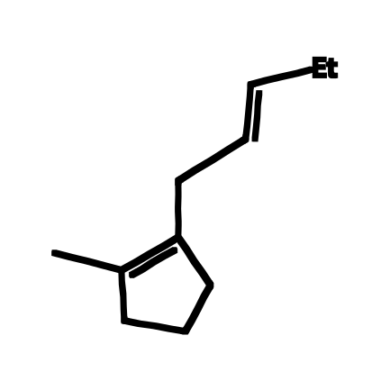 CCC=CCC1=C(C)CCC1